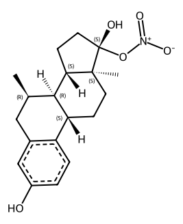 C[C@@H]1Cc2cc(O)ccc2[C@H]2CC[C@@]3(C)[C@@H](CC[C@]3(O)O[N+](=O)[O-])[C@H]12